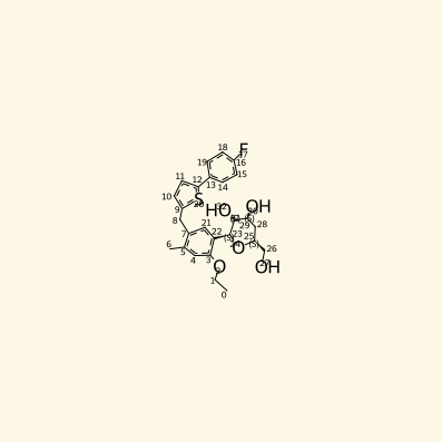 CCOc1cc(C)c(Cc2ccc(-c3ccc(F)cc3)s2)cc1[C@@H]1O[C@H](CO)C[C@H](O)[C@@H]1O